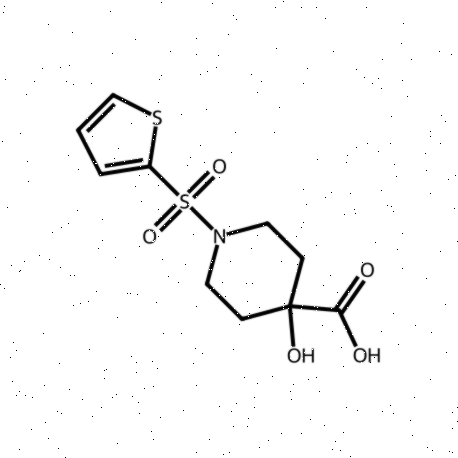 O=C(O)C1(O)CCN(S(=O)(=O)c2cccs2)CC1